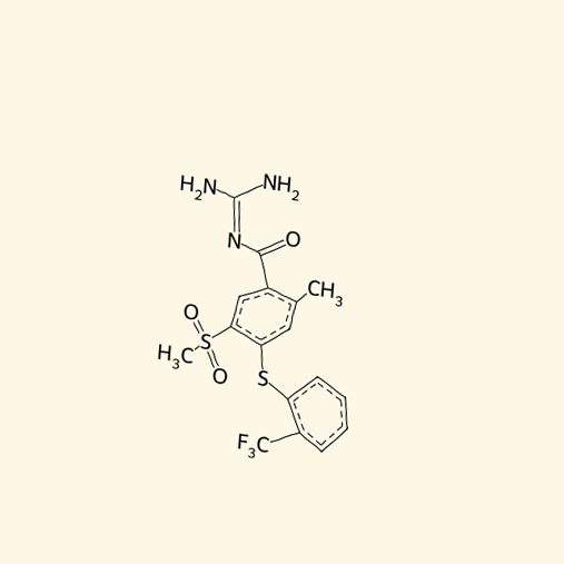 Cc1cc(Sc2ccccc2C(F)(F)F)c(S(C)(=O)=O)cc1C(=O)N=C(N)N